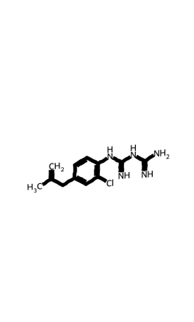 C=C(C)Cc1ccc(NC(=N)NC(=N)N)c(Cl)c1